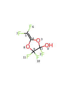 OC1(F)OC(=C(F)F)OC1(F)F